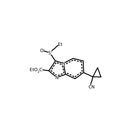 CCOC(=O)c1nc2cc(C3(C#N)CC3)ccn2c1[S+]([O-])CC